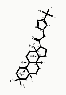 C[C@@]1(O)CC[C@@]2(C)[C@H](CC[C@@H]3[C@@H]2CC[C@]2(C)[C@@H](C(=O)Cn4ccc(C(F)(F)F)n4)CC[C@@H]32)C1